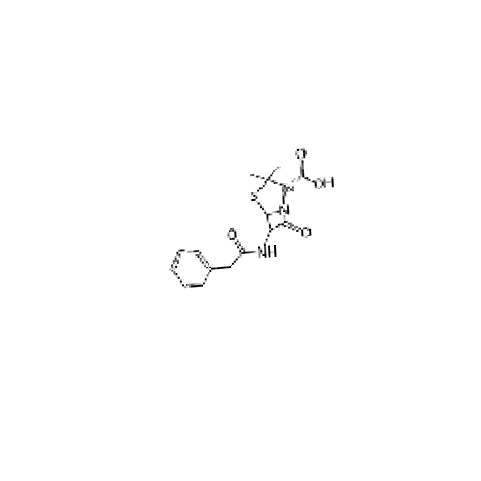 CC1(C)SC2C(NC(=O)Cc3ccccc3)C(=O)N2[C@H]1C(=O)O